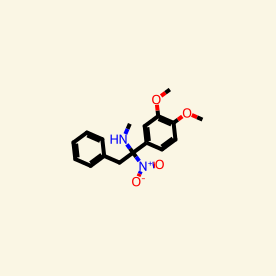 CNC(Cc1ccccc1)(c1ccc(OC)c(OC)c1)[N+](=O)[O-]